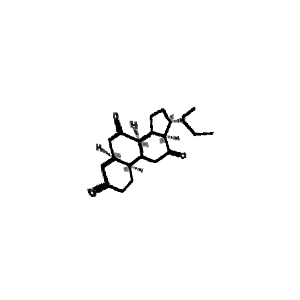 CCC(C)[C@H]1CCC2[C@@H]3C(=O)C[C@@H]4CC(=O)CC[C@]4(C)C3CC(=O)[C@@]21C